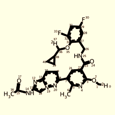 [2H]COc1nc(C)c(-c2ccc3nc(NC(C)=O)cn3n2)cc1C(=O)NCc1cc(F)cc(F)c1OC([2H])C1CC1